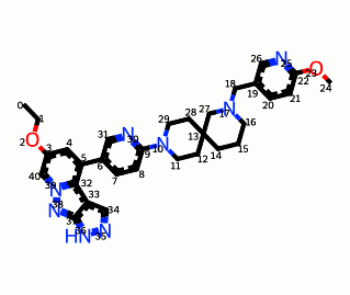 CCOc1cc(-c2ccc(N3CCC4(CCCN(Cc5ccc(OC)nc5)C4)CC3)nc2)c2c3cn[nH]c3nn2c1